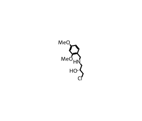 COc1ccc(CNC[C@@H](O)CCl)c(OC)c1